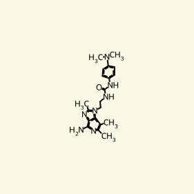 Cc1nc(N)c2nc(C)n(CCNC(=O)Nc3ccc(N(C)C)cc3)c2c1C